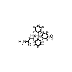 COc1ccc(C(NCCC(N)=O)(c2ccccc2)c2ccccc2)cc1